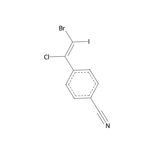 N#Cc1ccc(C(Cl)=C(Br)I)cc1